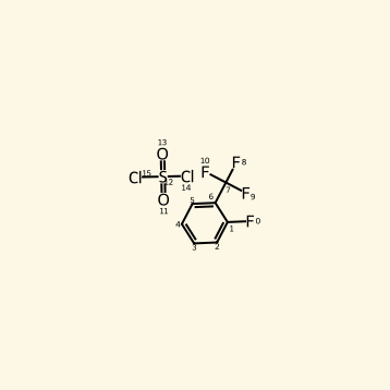 Fc1ccccc1C(F)(F)F.O=S(=O)(Cl)Cl